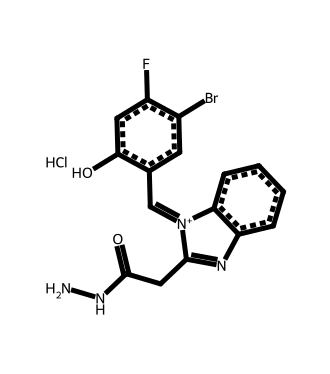 Cl.NNC(=O)CC1=Nc2ccccc2[N+]1=Cc1cc(Br)c(F)cc1O